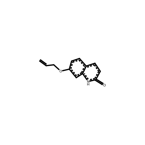 C=CCOc1ccc2ccc(=O)[nH]c2c1